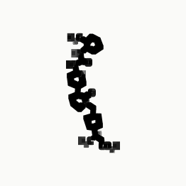 Cc1ccccc1NC(=O)Nc1ccc(-c2cccn(Cc3ccc([C@H](C)CC(=O)O)cc3)c2=O)cn1